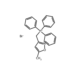 Cc1cc(C[P+](c2ccccc2)(c2ccccc2)c2ccccc2)no1.[Br-]